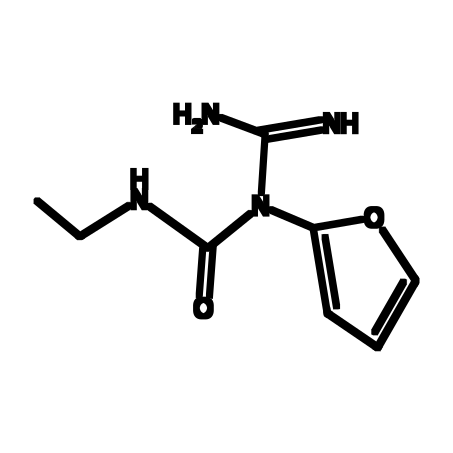 CCNC(=O)N(C(=N)N)c1ccco1